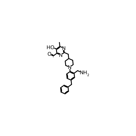 Cc1nc(CC2CCN(c3ccc(Cc4ccccc4)cc3CN)CC2)nc([C]=O)c1O